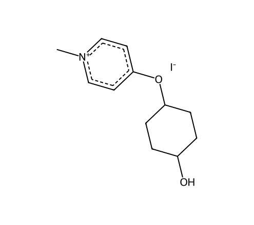 C[n+]1ccc(OC2CCC(O)CC2)cc1.[I-]